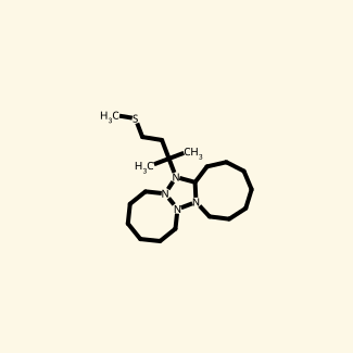 CSCCC(C)(C)N1C2CCCCCCCN2N2CCCCCCN21